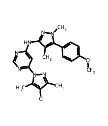 Cc1nn(-c2cc(Nc3nn(C)c(-c4ccc(OC(F)(F)F)cc4)c3C)ncn2)c(C)c1Cl